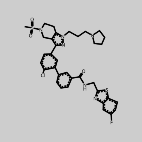 CS(=O)(=O)N1CCc2c(c(-c3ccc(Cl)c(-c4cccc(C(=O)NCc5nc6cc(F)ccc6s5)c4)c3)nn2CCCN2CCCC2)C1